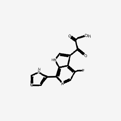 O=C(O)C(=O)c1c[nH]c2c(-c3cnc[nH]3)ncc(F)c12